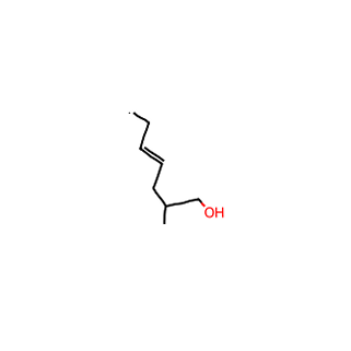 [CH2]CC=CCC(C)CO